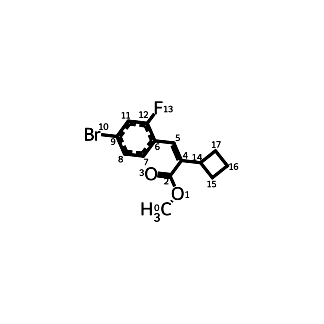 COC(=O)C(=Cc1ccc(Br)cc1F)C1CCC1